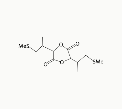 CSCC(C)C1OC(=O)C(C(C)CSC)OC1=O